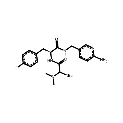 CN(C)C(C(=O)N[C@@H](Cc1ccc(F)cc1)C(=O)NCc1ccc(N)nc1)C(C)(C)C